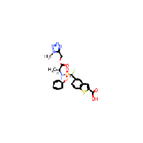 C[C@H](NP(=O)(Oc1ccccc1)[C@@H](F)c1ccc2sc(C(=O)O)cc2c1)C(=O)OCc1nnnn1C